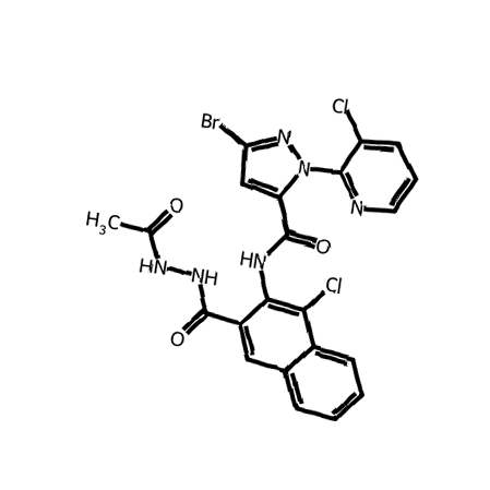 CC(=O)NNC(=O)c1cc2ccccc2c(Cl)c1NC(=O)c1cc(Br)nn1-c1ncccc1Cl